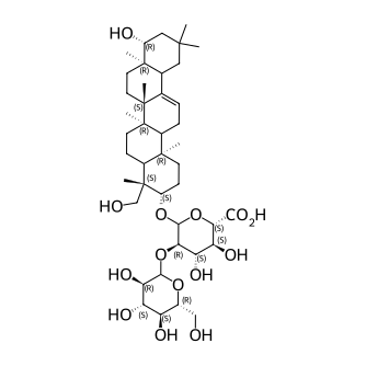 CC1(C)CC2C3=CCC4[C@@]5(C)CC[C@H](OC6O[C@H](C(=O)O)[C@@H](O)[C@H](O)[C@H]6OC6O[C@H](CO)[C@@H](O)[C@H](O)[C@H]6O)[C@](C)(CO)C5CC[C@@]4(C)[C@]3(C)CC[C@@]2(C)[C@H](O)C1